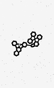 c1ccc2c(c1)-c1ccccc1C21c2ccccc2-c2ccc3ccc(-c4ccc5c(c4)c4cc6ccccc6c6c7ccccc7n5c46)cc3c21